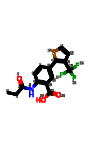 CCC(=O)Nc1ccc(-c2sccc2C(F)(F)F)cc1C(=O)O